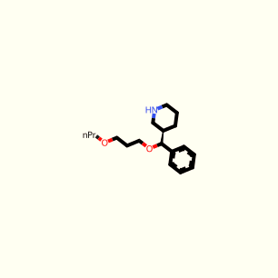 CCCOCCCOC(c1ccccc1)[C@@H]1CCCNC1